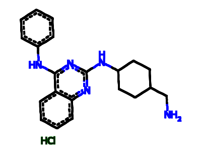 Cl.NCC1CCC(Nc2nc(Nc3ccccc3)c3ccccc3n2)CC1